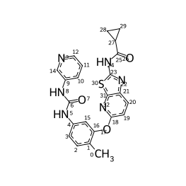 Cc1ccc(NC(=O)Nc2cccnc2)cc1Oc1ccc2nc(NC(=O)C3CC3)sc2n1